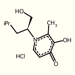 Cc1c(O)c(=O)ccn1[C@H](CO)CC(C)C.Cl